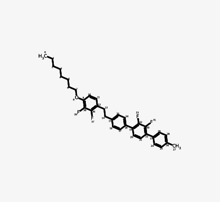 CCCCCCCCOc1ccc(CCc2ccc(-c3ccc(-c4ccc(C)cc4)c(F)c3F)cc2)c(F)c1F